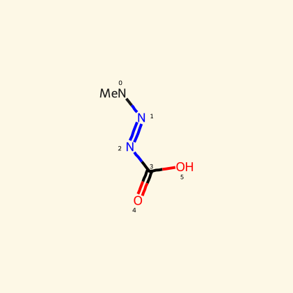 CNN=NC(=O)O